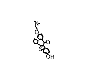 CN(C)CCOc1ccc(C(=O)c2c(C3CCCC3)sc3cc(O)ccc23)cc1